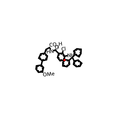 COc1cccc(-c2ccc(C[C@H](NC(=O)c3cccc(NC(c4ccccc4)(c4ccccc4)c4ccccc4)c3Cl)C(=O)O)cc2)c1